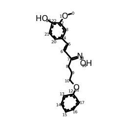 COc1cc(C=CC(CCCOc2ccccc2)=NO)ccc1O